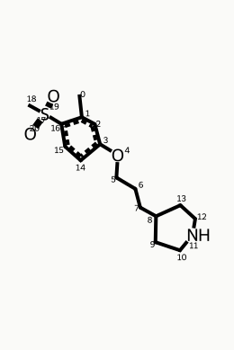 Cc1cc(OCCCC2CCNCC2)ccc1S(C)(=O)=O